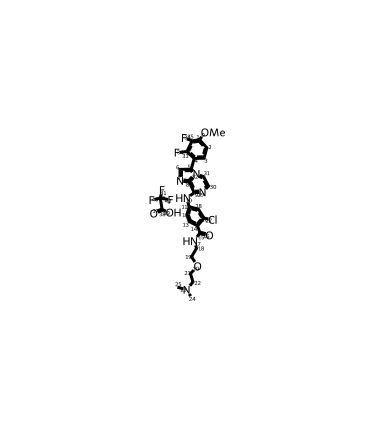 COc1ccc(-c2cnc3c(Nc4ccc(C(=O)NCCOCCN(C)C)c(Cl)c4)nccn23)c(F)c1F.O=C(O)C(F)(F)F